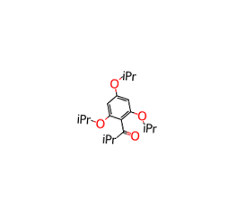 CC(C)Oc1cc(OC(C)C)c(C(=O)C(C)C)c(OC(C)C)c1